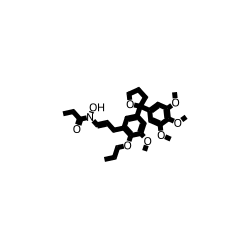 CCCOc1c(C/C=C/N(O)C(=O)CC)cc(C2(c3cc(OC)c(OC)c(OC)c3)CCCO2)cc1OC